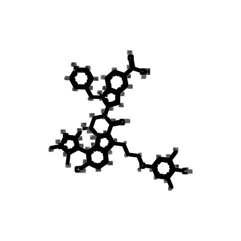 Cc1cc(OCCCc2c3n(c4c(-c5c(C)nn(C)c5C)c(Cl)ccc24)[C@H](C)CN(c2cc4cc(C(=O)O)ccc4n2Cc2ccncc2)C3=O)cc(C)c1Cl